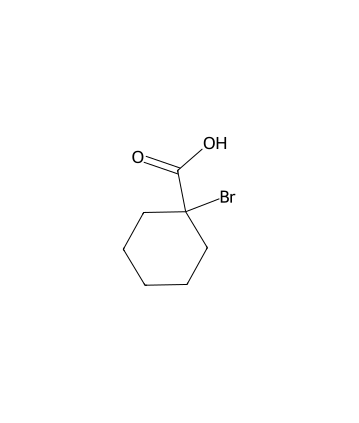 O=C(O)C1(Br)CCCCC1